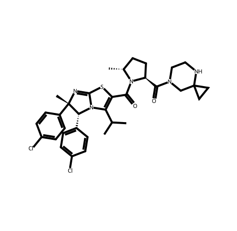 CC(C)C1=C(C(=O)N2[C@H](C)CC[C@H]2C(=O)N2CCNC3(CC3)C2)SC2=N[C@@](C)(c3ccc(Cl)cc3)[C@@H](c3ccc(Cl)cc3)N21